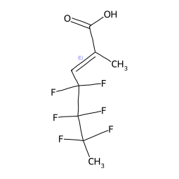 C/C(=C\C(F)(F)C(F)(F)C(C)(F)F)C(=O)O